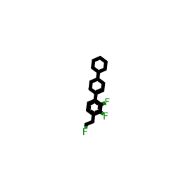 FCCc1ccc(C2=CCC(C3CCCCC3)CC2)c(F)c1F